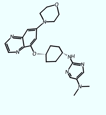 CN(C)c1cnc(N[C@H]2CC[C@@H](Oc3cc(N4CCOCC4)cc4nccnc34)CC2)nc1